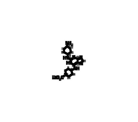 CCOC(=O)N1CCC(Nc2[nH]c(N[C@H]3CC[C@H](N)CC3)nc3ncnc2-3)CC1